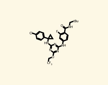 CC(C)(C)CNC(=O)c1ccc(Nc2nc(NC3(c4ccc(Cl)cc4)CC3)nc(OCC(F)(F)F)n2)cc1F